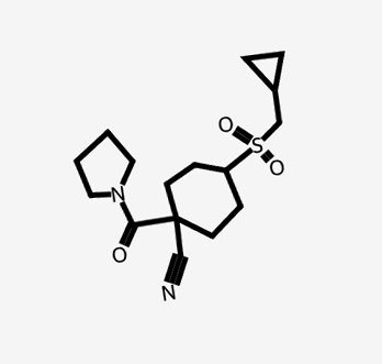 N#CC1(C(=O)N2CCCC2)CCC(S(=O)(=O)CC2CC2)CC1